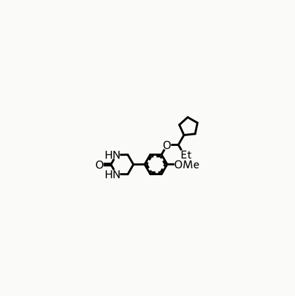 CCC(Oc1cc(C2CNC(=O)NC2)ccc1OC)C1CCCC1